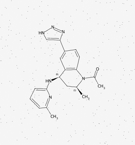 CC(=O)N1c2ccc(-c3c[nH]nn3)cc2[C@H](Nc2cccc(C)n2)C[C@@H]1C